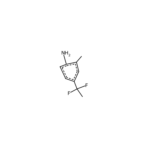 Cc1cc(C(C)(F)F)ccc1N